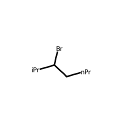 CCCCC(Br)C(C)C